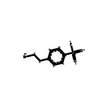 O=S(=O)(F)c1ccc(CCBr)cc1